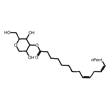 CCCCC/C=C\C/C=C\CCCCCCCC(=O)OC1C(O)COC(CO)C1O